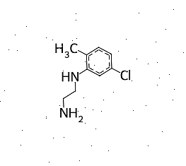 Cc1ccc(Cl)cc1NCCN